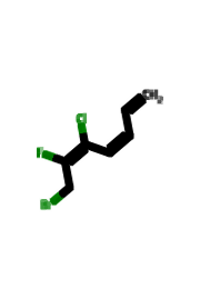 C=C/C=C\C(Cl)=C(\F)CBr